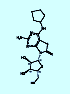 C=C1Sc2c(NC3CCCC3)nc(N)nc2N1[C@@H]1O[C@H](CO)[C@@H](O)[C@H]1O